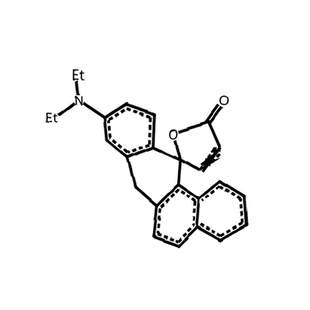 CCN(CC)c1ccc2c(c1)Cc1ccc3ccccc3c1C21OC(=O)c2ccccc21